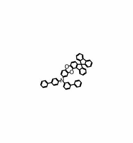 c1ccc(-c2ccc(N(c3cccc(-c4ccccc4)c3)c3ccc4c(c3)Oc3c(ccc5c3-c3ccccc3C53c5ccccc5-c5ccccc53)O4)cc2)cc1